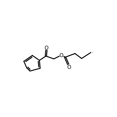 [CH2]CCC(=O)OCC(=O)c1ccccc1